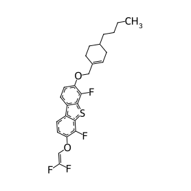 CCCCC1CC=C(COc2ccc3c(sc4c(F)c(OC=C(F)F)ccc43)c2F)CC1